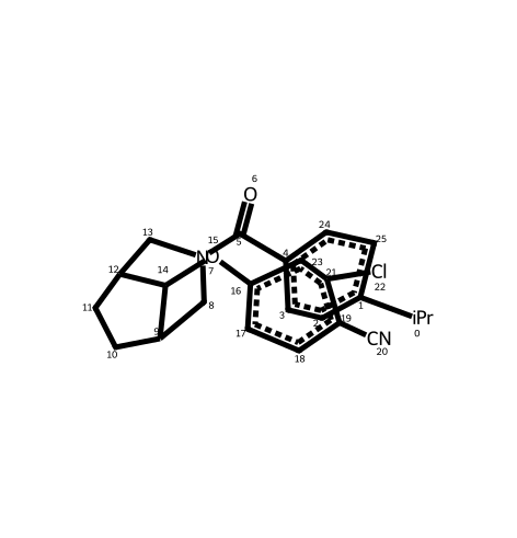 CC(C)c1ccc(C(=O)N2CC3CCC(C2)C3Oc2ccc(C#N)c(Cl)c2)cc1